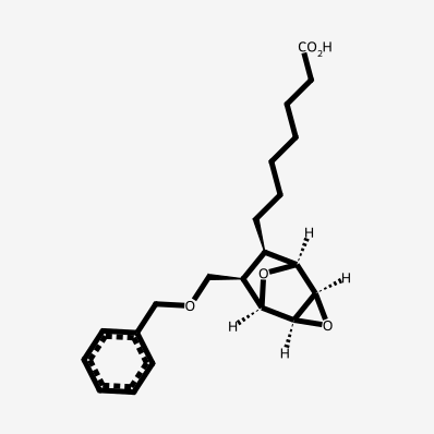 O=C(O)CCCCCC[C@@H]1[C@H](COCc2ccccc2)[C@H]2O[C@@H]1[C@H]1O[C@H]12